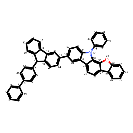 c1ccc(-c2ccc(C3c4ccccc4-c4cc(-c5ccc6c(c5)c5ccc7c8ccccc8oc7c5n6-c5ccccc5)ccc43)cc2)cc1